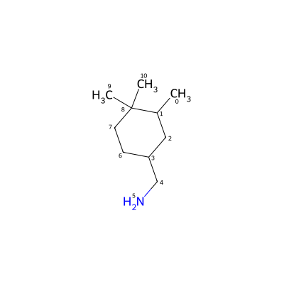 CC1CC(CN)CCC1(C)C